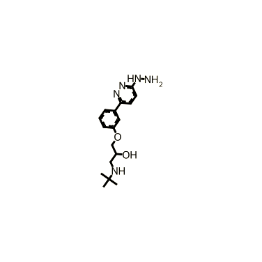 CC(C)(C)NCC(O)COc1cccc(-c2ccc(NN)nn2)c1